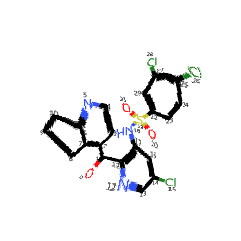 O=C(c1ccnc2c1C=CC2)c1ncc(Cl)cc1NS(=O)(=O)c1ccc(Cl)c(Cl)c1